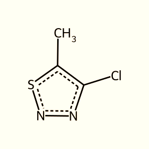 Cc1snnc1Cl